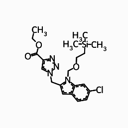 CCOC(=O)c1cn(Cc2cc3ccc(Cl)cc3n2COCC[Si](C)(C)C)nn1